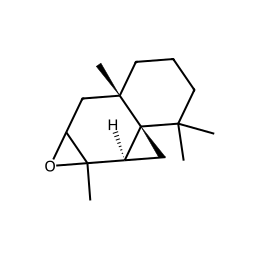 CC12OC1C[C@]1(C)CCCC(C)(C)[C@@]13C[C@@H]23